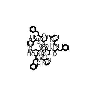 CC(C)CC(NC(=O)C(Cc1ccccc1)NCc1cnccn1)B1OB(C(CC(C)C)NC(=O)C(Cc2ccccc2)NC(=O)c2cnccn2)OB(C(CC(C)C)NC(O)C(Cc2ccccc2)NC(=O)c2cnccn2)O1